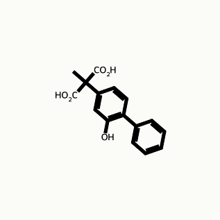 CC(C(=O)O)(C(=O)O)c1ccc(-c2ccccc2)c(O)c1